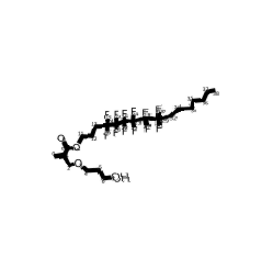 C=C(COCCCO)C(=O)OCCCC(F)(F)C(F)(F)C(F)(F)C(F)(F)C(F)(F)C(F)(F)CCCCCCC